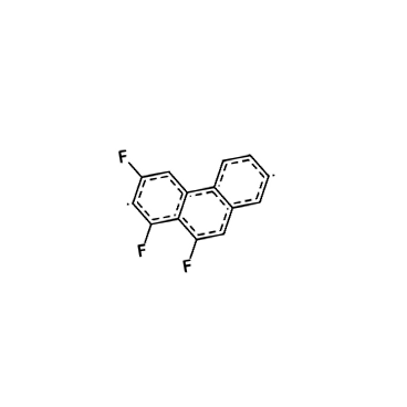 Fc1[c]c(F)c2c(F)cc3c[c]ccc3c2c1